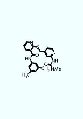 CNC(=O)Nc1cc(CSc2ncccc2C(=O)Nc2cc(C)cc(C)c2)ccn1